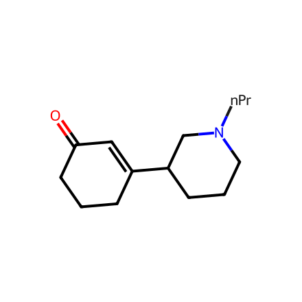 CCCN1CCCC(C2=CC(=O)CCC2)C1